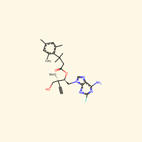 C#C[C@](CO)(OC)[C@H](Cn1cnc2c(N)nc(F)nc21)OC(=O)CC(C)(C)c1c(C)cc(C)cc1OC(C)=O